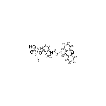 CC(C)(Oc1cccc2c1ccn2CCCCN1c2ccccc2Oc2ccccc21)C(=O)O